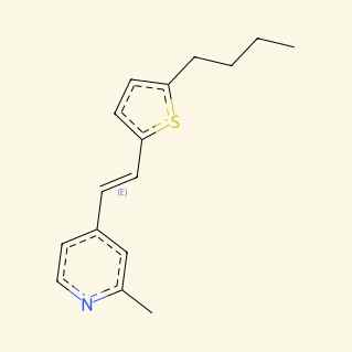 CCCCc1ccc(/C=C/c2ccnc(C)c2)s1